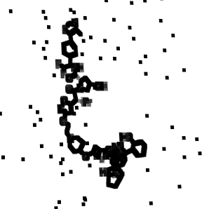 Cc1ncsc1-c1ccc([C@@H](NC(=O)[C@@H]2C[C@@H](O)CN2C(=O)[C@@H](c2cc(OCCN3CCC(OC4CC(Oc5cc(N6C7CC[C@@H]6CN(c6cc(-c8ccccc8O)nnc6N)C7)ccn5)C4)CC3)no2)C(C)C)C(F)F)cc1